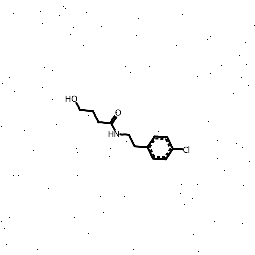 O=C(CCCO)NCCc1ccc(Cl)cc1